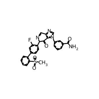 CS(=O)(=O)c1ccccc1-c1ccc(C2N=Cc3ncn(-c4cccc(C(N)=O)c4)c3C2=O)c(F)c1